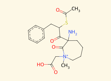 CC(=O)SC(Cc1ccccc1)C(=O)C1(N)CCCC[N+](C)(CC(=O)O)C1=O